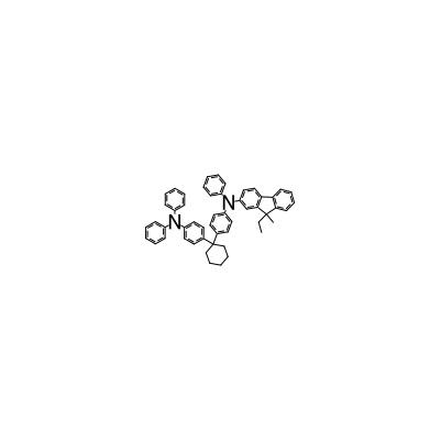 CCC1(C)c2ccccc2-c2ccc(N(c3ccccc3)c3ccc(C4(c5ccc(N(c6ccccc6)c6ccccc6)cc5)CCCCC4)cc3)cc21